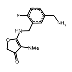 CNC1=C(NCc2cc(CN)ccc2F)OCC1=O